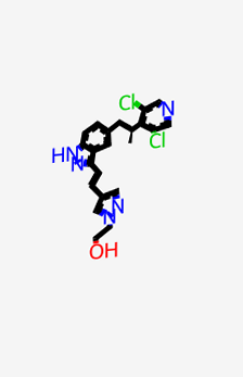 C[C@@H](Cc1ccc2[nH]nc(/C=C/c3cnn(CCO)c3)c2c1)c1c(Cl)cncc1Cl